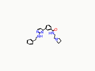 O=C(NCCN1CCCC1)c1cccc(-c2ccnc(NCCc3ccccc3)n2)c1